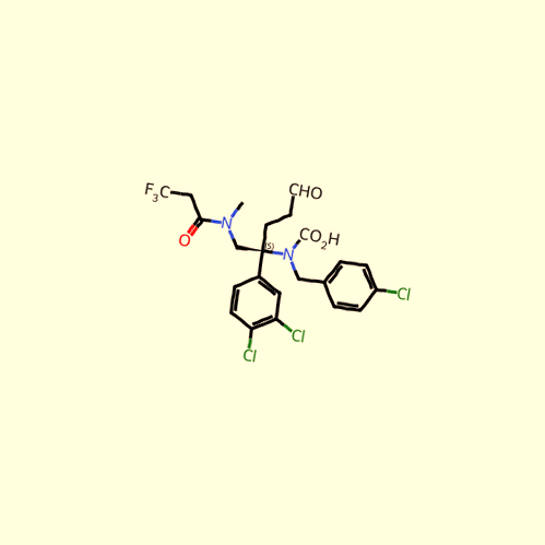 CN(C[C@](CCC=O)(c1ccc(Cl)c(Cl)c1)N(Cc1ccc(Cl)cc1)C(=O)O)C(=O)CC(F)(F)F